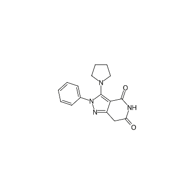 O=C1Cc2nn(-c3ccccc3)c(N3CCCC3)c2C(=O)N1